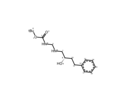 CC(C)(C)OC(=O)NCNC[C@@H](O)CCc1ccccc1